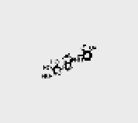 COc1cccc(CNc2ncnc3c2ncn3[C@@H]2O[C@H](CO)[C@@H](O)[C@H]2O)c1OC